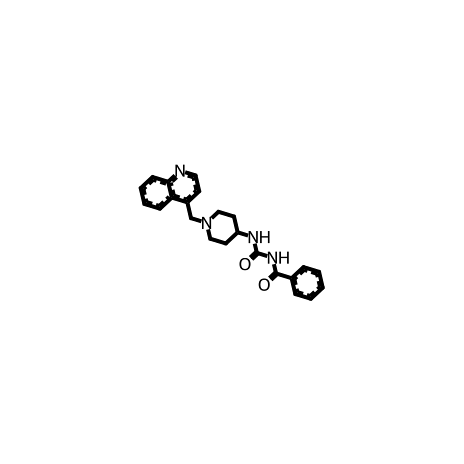 O=C(NC(=O)c1ccccc1)NC1CCN(Cc2ccnc3ccccc23)CC1